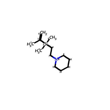 C=C(C)[Si](C)(C)CCN1CCCCC1